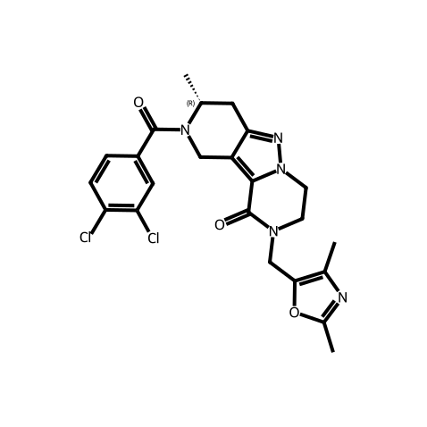 Cc1nc(C)c(CN2CCn3nc4c(c3C2=O)CN(C(=O)c2ccc(Cl)c(Cl)c2)[C@H](C)C4)o1